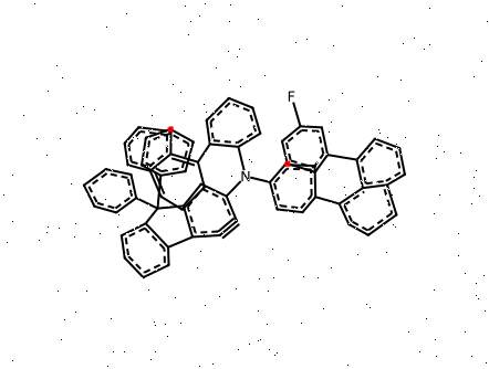 Fc1cccc(-c2cccc3cccc(-c4ccc(N(c5c#cc6c(c5)C(c5ccccc5)(c5ccccc5)c5ccccc5-6)c5ccccc5C5=c6ccccc6=CCC5)cc4)c23)c1